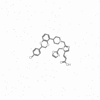 O=C(O)/C=C/c1cnc(CN2CCC(c3cccc4c3OCC(c3ccc(Cl)cc3)O4)CC2)n1Cc1ncco1